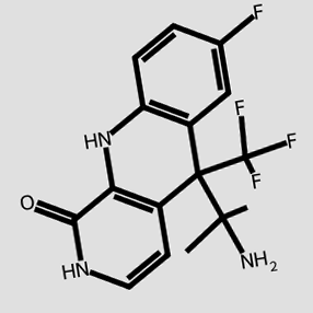 CC(C)(N)C1(C(F)(F)F)c2cc(F)ccc2Nc2c1cc[nH]c2=O